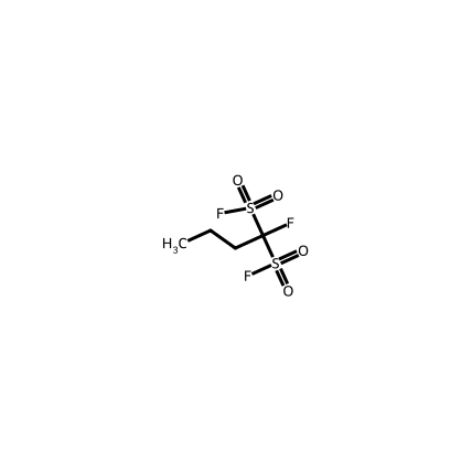 CCCC(F)(S(=O)(=O)F)S(=O)(=O)F